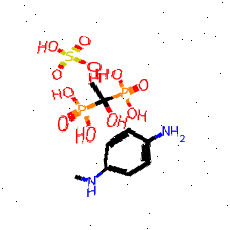 CC(O)(P(=O)(O)O)P(=O)(O)O.CNc1ccc(N)cc1.O=S(=O)(O)O